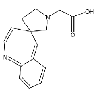 O=C(O)CN1CCC2(C=CN=c3ccccc3=C2)C1